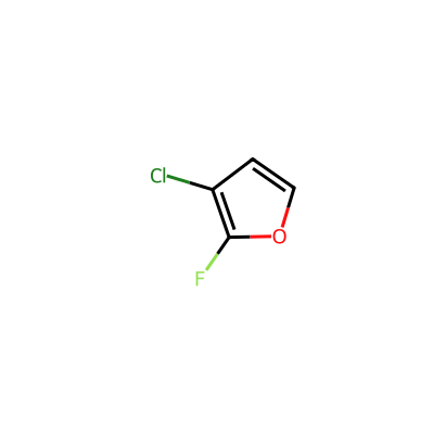 Fc1occc1Cl